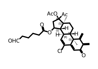 C=C1C(=C)[C@@]2(C)C(=CC1=O)C(Cl)=C[C@@H]1[C@@H]2CC[C@@]2(C)[C@H]1C(OC(=O)CCCCC=O)C[C@]2(OC(C)=O)C(C)=O